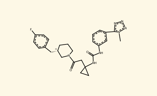 Cn1nnnc1-c1cccc(NC(=O)NC2(CC(=O)N3CCC[C@@H](Cc4ccc(F)cc4)C3)CC2)c1